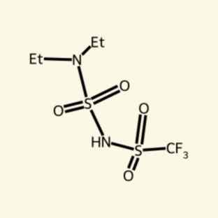 CCN(CC)S(=O)(=O)NS(=O)(=O)C(F)(F)F